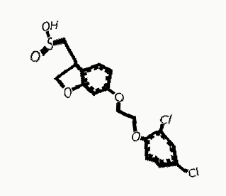 O=S(O)CC1COc2cc(OCCOc3ccc(Cl)cc3Cl)ccc21